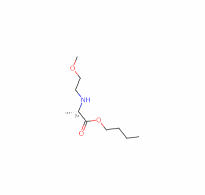 CCCCOC(=O)[C@H](C)NCCOC